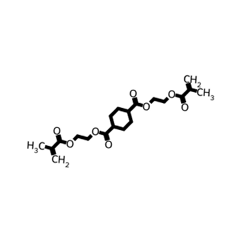 C=C(C)C(=O)OCCOC(=O)C1CCC(C(=O)OCCOC(=O)C(=C)C)CC1